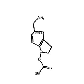 CC(C)(C)C(=O)ON1CCc2cc(CN)ccc21